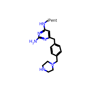 CCCC(C)Nc1cc(Cc2ccc(CN3CCNCC3)cc2)nc(N)n1